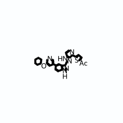 CC(=O)c1ccc(-c2nccc3[nH]c(-c4n[nH]c5ccc(-c6cncc(OC7CCCCC7)c6)cc45)nc23)s1